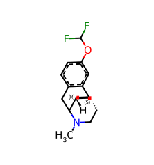 CN1CC[C@@]23CCCC[C@H]2C1Cc1ccc(OC(F)F)cc13